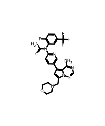 NC(=O)N(c1ccc(-c2cc(CN3CCOCC3)n3ncnc(N)c23)cn1)c1cc(C(F)(F)F)ccc1F